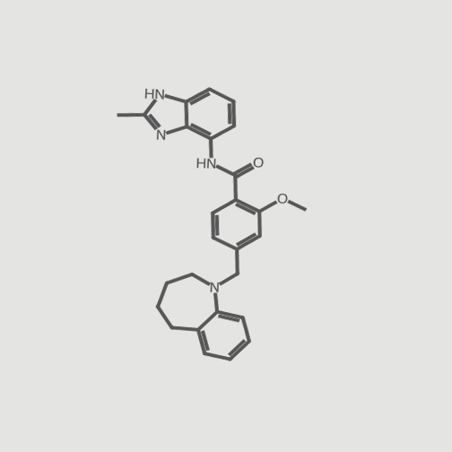 COc1cc(CN2CCCCc3ccccc32)ccc1C(=O)Nc1cccc2[nH]c(C)nc12